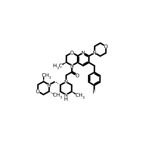 C[C@@H]1CN(CC(=O)N2c3cc(Cc4ccc(F)cc4)c(N4CCOCC4)nc3OC[C@@H]2C)[C@@H](CN2[C@H](C)COC[C@H]2C)CN1